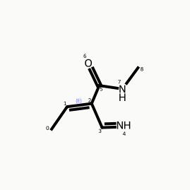 C/C=C(\C=N)C(=O)NC